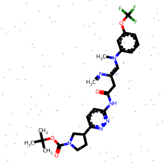 C=N/C(=C\N(C)c1cccc(OC(F)(F)F)c1)CC(=O)Nc1ccc(C2CCN(C(=O)OC(C)(C)C)C2)nn1